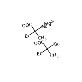 CCC(C)C(C)(CC)C(=O)[O-].CCC(C)C(C)(CC)C(=O)[O-].[Mg+2]